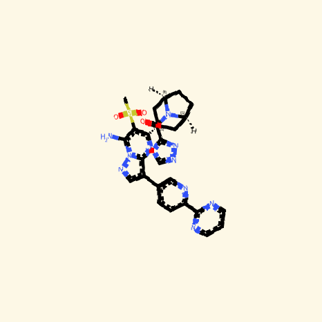 CS(=O)(=O)c1c([C@@H]2C[C@H]3CC[C@@H](C2)N3C(=O)c2nnc[nH]2)nc2c(-c3ccc(-c4ncccn4)nc3)cnn2c1N